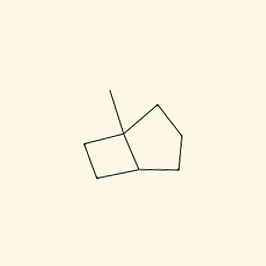 CC12CCCC1CC2